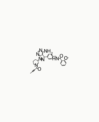 CC#CC(=O)N1CCC[C@@H](n2nc(-c3ccc(CNC(=O)c4ccccc4OC)cc3)c3c(N)ncnc32)C1